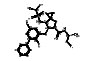 C[C@H](CF)NC(=O)N1CC2(CC2)[C@H](NS(=O)(=O)C(F)F)[C@@H]1Cc1cc(F)cc(-c2ccccc2)c1F